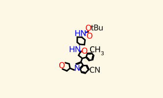 Cc1cccc(C(CC(=O)N[C@H]2CC[C@@H](NC(=O)OC(C)(C)C)CC2)c2cn(CC3CCOCC3)c3ccc(C#N)cc23)c1